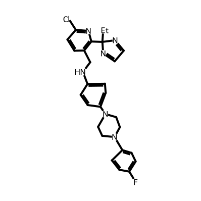 CCC1(c2nc(Cl)ccc2CNc2ccc(N3CCN(c4ccc(F)cc4)CC3)cc2)N=CC=N1